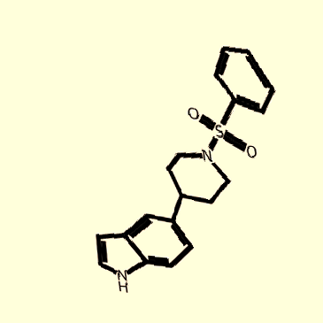 O=S(=O)(c1ccccc1)N1CCC(c2ccc3[nH]ccc3c2)CC1